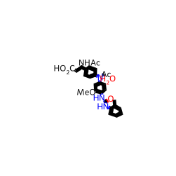 COc1cc(N(C(C)=O)c2ccc([C@@H](CC(=O)O)NC(C)=O)cc2)ccc1NC(=O)Nc1ccccc1C.O